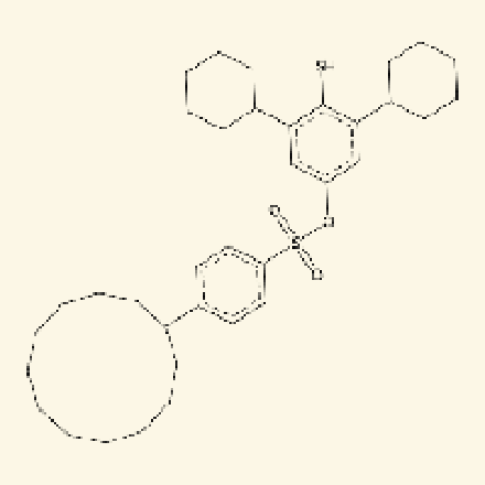 O=S(=O)(Oc1cc(C2CCCCC2)c(S)c(C2CCCCC2)c1)c1ccc(C2CCCCCCCCCCC2)cc1